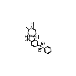 CC1C[C@H]2[C@@H](CCN1)c1cc(S(=O)(=O)c3ccccc3)ccc1N2C